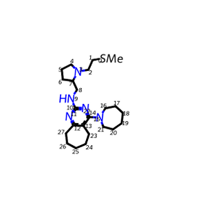 CSCCN1CCCC1CNc1nc2c(c(N3CCCCCC3)n1)CCCCC2